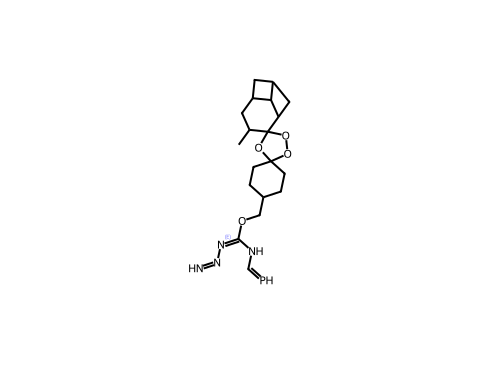 CC1CC2CC3CC(C23)C12OOC1(CCC(CO/C(=N/N=N)NC=P)CC1)O2